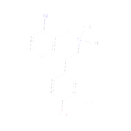 C[N+]1(C)Cc2c(N)cccc2C(c2ccc(O)c(O)c2)C1